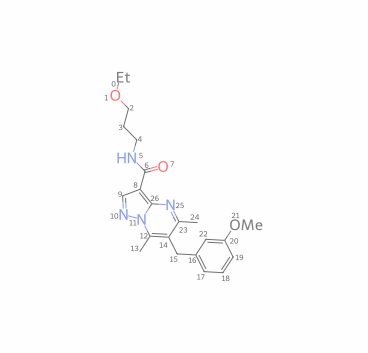 CCOCCCNC(=O)c1cnn2c(C)c(Cc3cccc(OC)c3)c(C)nc12